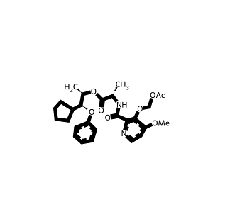 COc1ccnc(C(=O)N[C@@H](C)C(=O)O[C@@H](C)[C@H](Oc2ccccc2)C2CCCC2)c1OCOC(C)=O